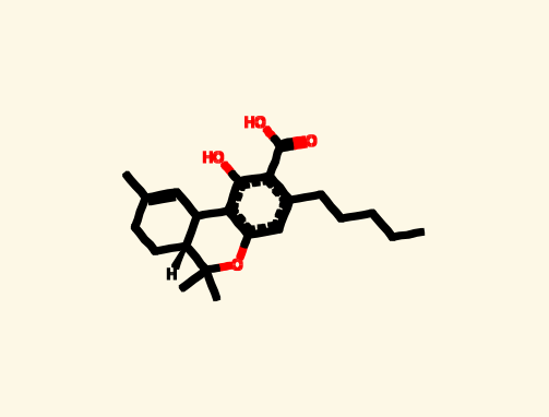 CCCCCc1cc2c(c(O)c1C(=O)O)C1C=C(C)CC[C@H]1C(C)(C)O2